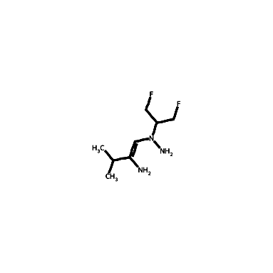 CC(C)/C(N)=C/N(N)C(CF)CF